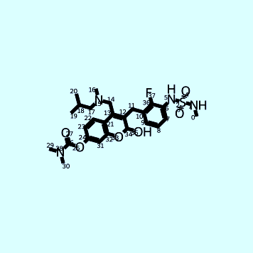 CNS(=O)(=O)Nc1cccc(CC2=C(CN(C)CC(C)C)c3ccc(OC(=O)N(C)C)cc3OC2O)c1F